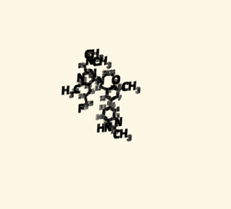 Cc1nc2cc(-c3cc(C)c4c(c3)CN(c3nc(CN(C)C)nc(C)c3CCCF)CCO4)ccc2[nH]1